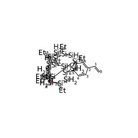 C=Cc1ccc([Si]23[SiH2][Si]4(CC)[SiH2][Si]5(CC)[SiH2][Si]6(CC)[SiH2][Si](CC)([SiH2]4)[SiH2][Si](CC)([SiH2][Si](CC)([SiH2]6)[SiH2][Si](CC)([SiH2]5)[SiH2]2)[SiH2]3)cc1